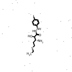 CCSCC[C@@H](N)C(O)C(=O)NNc1ccc(I)cc1